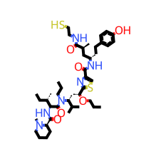 CCCO[C@H](C[C@H](C(C)C)N(CCC)C(=O)[C@@H](NC(=O)[C@H]1CCCCN1C)[C@@H](C)CC)c1nc(C(=O)N[C@@H](CCc2ccc(O)cc2)C[C@H](C)C(=O)NCCS)cs1